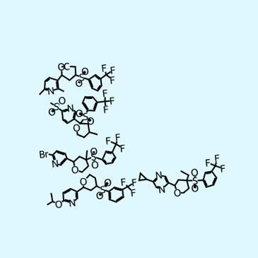 CC(C)Oc1ccc(C2CC(S(=O)(=O)c3cccc(C(F)(F)F)c3)CCO2)cn1.CC1(S(=O)(=O)c2cccc(C(F)(F)F)c2)CCOC(c2ccc(Br)nc2)C1.CC1CCOC(c2ccc(S(C)(=O)=O)nc2)(S(=O)(=O)c2cccc(C(F)(F)F)c2)C1.CCC1(S(=O)(=O)c2cccc(C(F)(F)F)c2)CCOC(c2cnc(C3CC3)cn2)C1.Cc1ccc(C2CC(S(=O)(=O)c3cccc(C(F)(F)F)c3)CCO2)c(C)n1